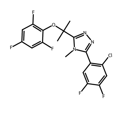 Cn1c(-c2cc(F)c(F)cc2Cl)nnc1C(C)(C)Oc1c(F)cc(F)cc1F